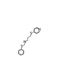 c1ccc(SC[N]CCCSc2ccncc2)cc1